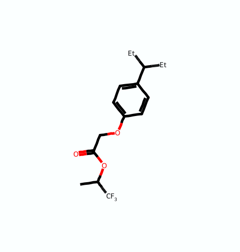 CCC(CC)c1ccc(OCC(=O)OC(C)C(F)(F)F)cc1